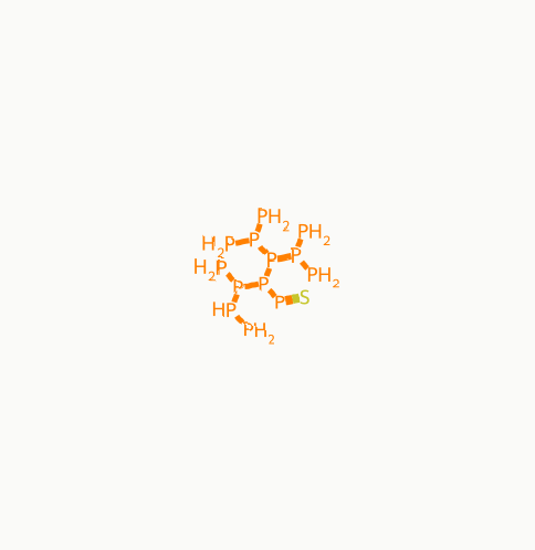 PPP(P)P(P=S)P(P(P)P)P(P)P